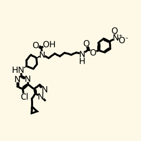 Cn1ncc(-c2nc(N[C@H]3CC[C@H](N(CCCCCCNC(=O)Oc4ccc([N+](=O)[O-])cc4)C(=O)O)CC3)ncc2Cl)c1CC1CC1